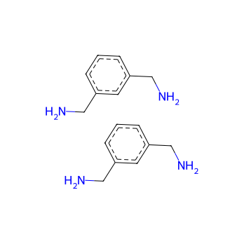 NCc1cccc(CN)c1.NCc1cccc(CN)c1